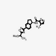 COC(C)c1nc(-c2ccc3c(c2)CC[C@H]3NC(=O)c2oncc2C)no1